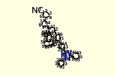 N#Cc1cccc(-c2cccc(-c3ccc4c(c3)C3(c5cc(-c6ccc(-c7nc(-c8ccccc8)nc(-c8ccccc8)n7)cc6)ccc5-4)c4ccccc4-c4cccc5cccc3c45)c2)c1